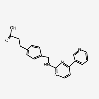 O=C(O)CCc1ccc(CNc2nccc(-c3cccnc3)n2)cc1